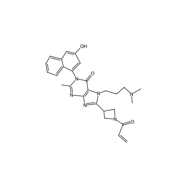 C=CC(=O)N1CC(c2nc3nc(C)n(-c4cc(O)cc5ccccc45)c(=O)c3n2CCCN(C)C)C1